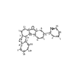 c1ccc(-c2ccc3c(c2)oc2ccc4oc5ccccc5c4c23)nc1